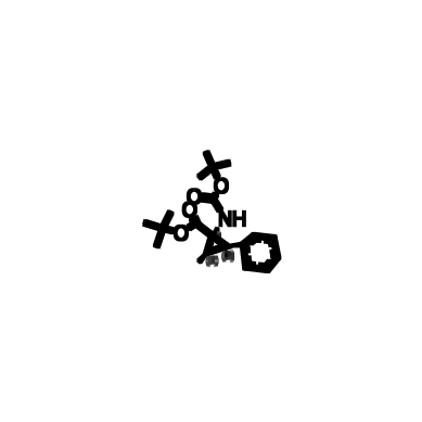 C[C@@H]1[C@H](c2ccccc2)[C@]1(NC(=O)OC(C)(C)C)C(=O)OC(C)(C)C